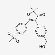 CC1(C)OC(c2ccc(S(C)(=O)=O)cc2)=C(c2ccc(CO)cc2)C1=O